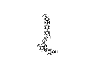 CN(C)c1ccc2nc(-c3ccc(-c4ccc(NCCOCCN5C(=O)CCC(N6Cc7ccc(O)cc7C6)C5=O)nc4)cc3)sc2c1